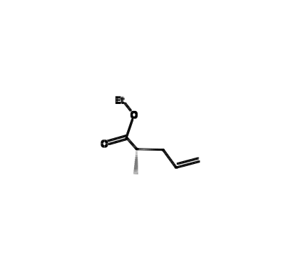 C=CC[C@H](C)C(=O)OCC